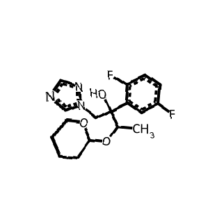 CC(OC1CCCCO1)C(O)(Cn1cncn1)c1cc(F)ccc1F